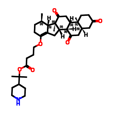 C[C@@H]1CCC(OCCCC(=O)OC(C)(C)C2CCNCC2)=C2C[C@H]3[C@@H]4C(=O)C[C@@H]5CC(=O)CC[C@]5(C)[C@H]4CC(=O)[C@]3(C)[C@H]21